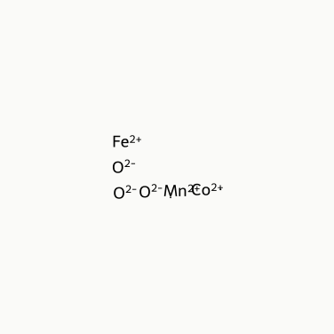 [Co+2].[Fe+2].[Mn+2].[O-2].[O-2].[O-2]